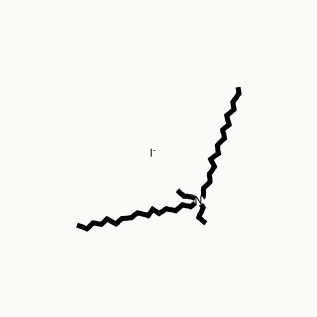 CCCCCCCCCCCCCCCC[N+](CCC)(CCC)CCCCCCCCCCCCCCCC.[I-]